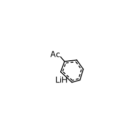 CC(=O)c1ccccc1.[LiH]